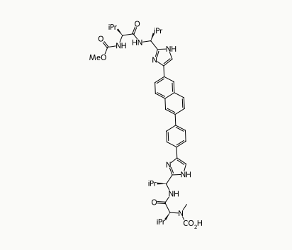 COC(=O)N[C@H](C(=O)N[C@H](c1nc(-c2ccc3cc(-c4ccc(-c5c[nH]c([C@@H](NC(=O)[C@H](C(C)C)N(C)C(=O)O)C(C)C)n5)cc4)ccc3c2)c[nH]1)C(C)C)C(C)C